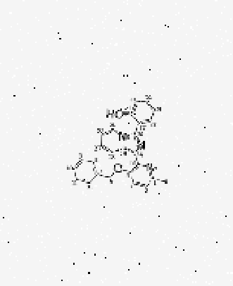 Cc1ccc(OCc2ccccc2)c(-c2nc(-c3ccccc3O)n3ccccc23)n1